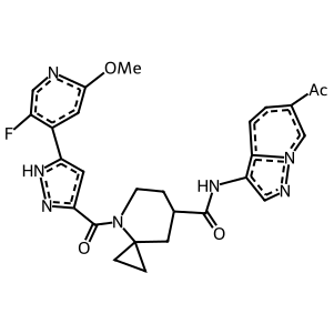 COc1cc(-c2cc(C(=O)N3CCC(C(=O)Nc4cnn5cc(C(C)=O)ccc45)CC34CC4)n[nH]2)c(F)cn1